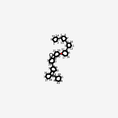 c1ccc(-c2cccc(-c3cccc(-c4cccc(-c5ccc6oc7ccc(-c8ccc9c(c8)c8ccccc8n9-c8ccccc8)cc7c6c5)c4)c3)c2)cc1